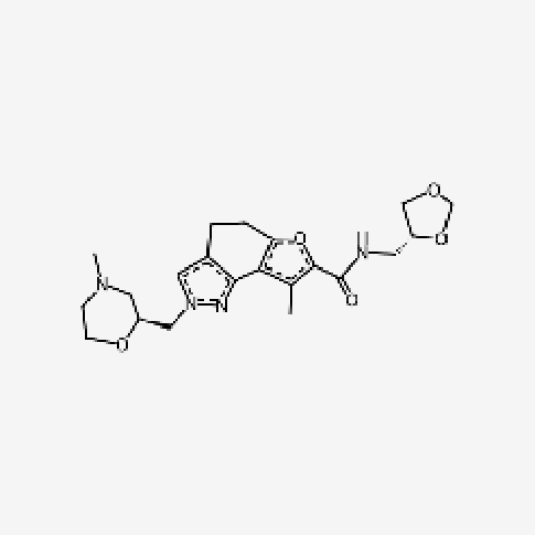 Cc1c(C(=O)NC[C@@H]2COCO2)oc2c1-c1nn(C[C@@H]3CN(C)CCO3)cc1CC2